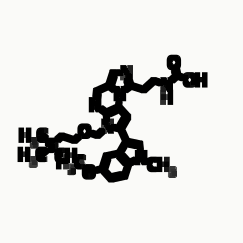 COc1ccc2c(c1)c(-c1cc3c(ncc4cnc(CCNC(=O)O)n43)n1COCC[Si](C)(C)C)cn2C